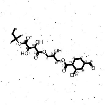 CCC(C)(C)OC(=O)C(O)C(O)C(=O)OCC(O)COC(=O)C1CCC(C=O)CC1Cl